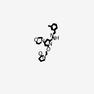 Cc1cccc(C=NNc2cc(N3CCOCC3)cc(OCCN3CCCC3=O)n2)c1